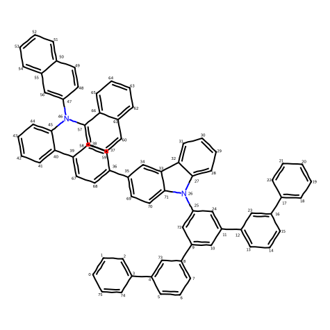 c1ccc(-c2cccc(-c3cc(-c4cccc(-c5ccccc5)c4)cc(-n4c5ccccc5c5cc(-c6ccc(-c7ccccc7N(c7ccc8ccccc8c7)c7cccc8ccccc78)cc6)ccc54)c3)c2)cc1